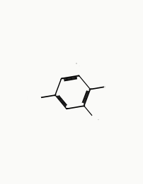 Cc1ccc(O)c(O)c1.[KH]